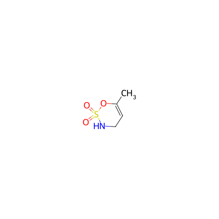 CC1=CCNS(=O)(=O)O1